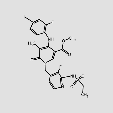 CCS(=O)(=O)Nc1nccc(Cn2cc(C(=O)OC)c(Nc3ccc(I)cc3F)c(C)c2=O)c1F